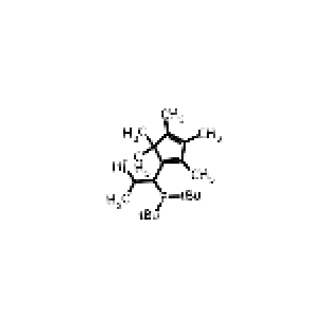 CC1=C(C)C(C)(C)C(C([CH](C)[Hf])P(C(C)(C)C)C(C)(C)C)=C1C